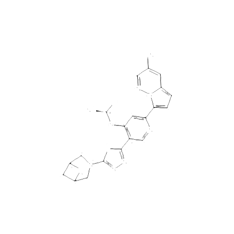 C[C@H](C#N)Nc1cc(-c2ccc3cc(C#N)cnn23)ncc1-c1nnc(N2CC3CC(C2)O3)s1